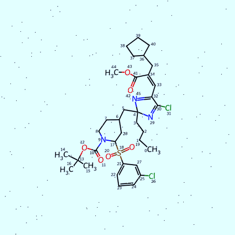 CCCCC1(CC2CCN(C(=O)OC(C)(C)C)C(S(=O)(=O)c3cccc(Cl)c3)C2)N=C(Cl)C(C=C(CC2CCCC2)C(=O)OC)=N1